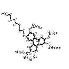 CCCCCCSc1cc2c3cc(SCCCCCC)c(SCCCCCC)cc3c3cc(SCCCCCCCO)c(SCCCCCC)cc3c2cc1SCCCCCC